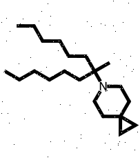 CCCCCCC(C)(CCCCCC)N1CCC2(CC1)CC2